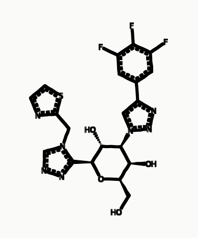 OC[C@H]1O[C@@H](c2nncn2Cc2nccs2)[C@H](O)[C@@H](n2cc(-c3cc(F)c(F)c(F)c3)nn2)[C@H]1O